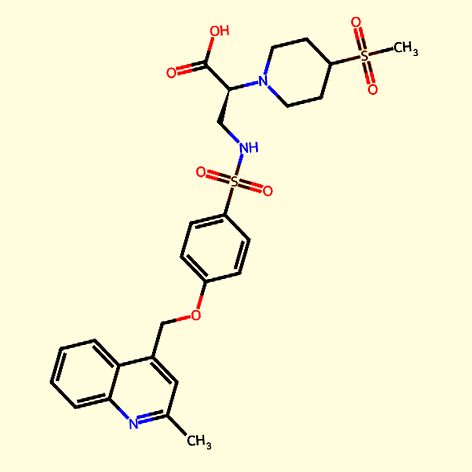 Cc1cc(COc2ccc(S(=O)(=O)NC[C@@H](C(=O)O)N3CCC(S(C)(=O)=O)CC3)cc2)c2ccccc2n1